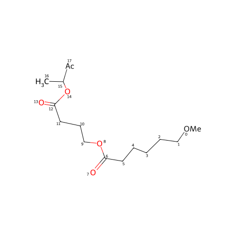 COCCCCCC(=O)OCCCC(=O)OC(C)C(C)=O